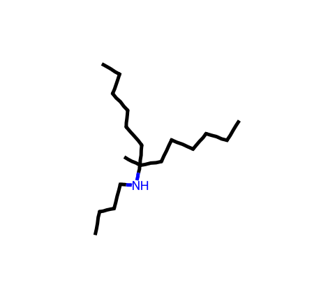 CCCCCCC(C)(CCCCCC)NCCCC